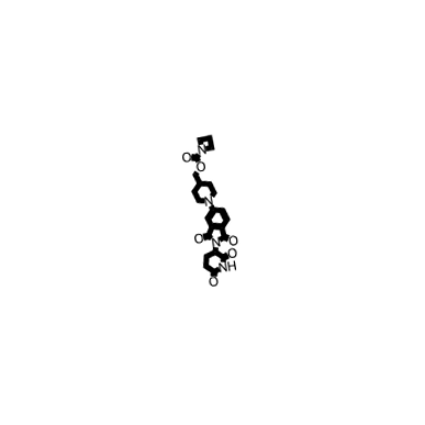 O=C1CCC(N2C(=O)c3ccc(N4CCC(COC(=O)N5CCC5)CC4)cc3C2=O)C(=O)N1